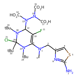 CN(Cc1csc(N)n1)C1=C(F)C(N(C(=O)O)N(C(=O)O)C(=O)O)N(C(C)(C)C)C(Cl)(C(C)(C)C)N1C(C)(C)C